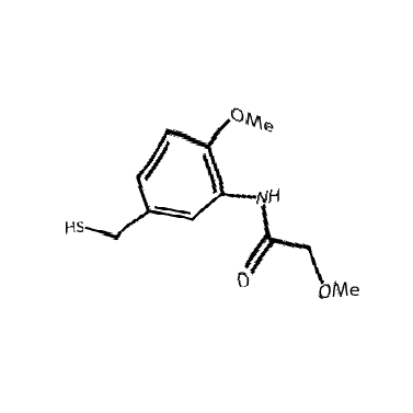 COCC(=O)Nc1cc(CS)ccc1OC